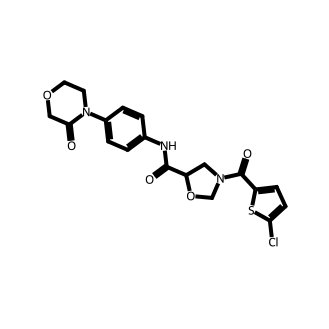 O=C(Nc1ccc(N2CCOCC2=O)cc1)C1CN(C(=O)c2ccc(Cl)s2)CO1